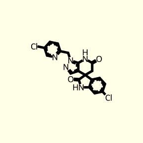 O=C1CC2(C(=O)Nc3cc(Cl)ccc32)c2cnn(Cc3ccc(Cl)cn3)c2N1